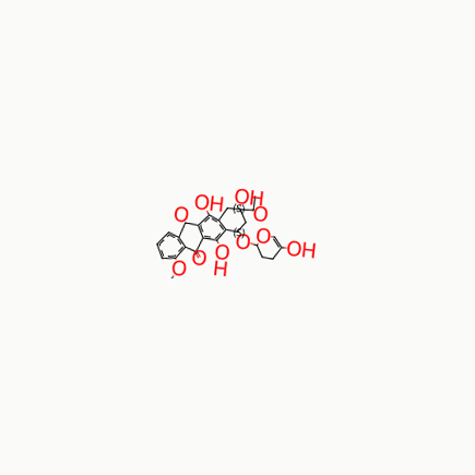 COc1cccc2c1C(=O)c1c(O)c3c(c(O)c1C2=O)C[C@@](O)(C(C)=O)C[C@@H]3OC1CCC(O)=CO1